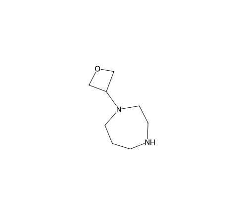 C1CNCCN(C2COC2)C1